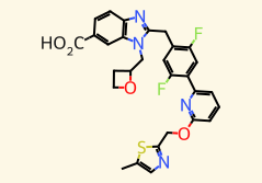 Cc1cnc(COc2cccc(-c3cc(F)c(Cc4nc5ccc(C(=O)O)cc5n4CC4CCO4)cc3F)n2)s1